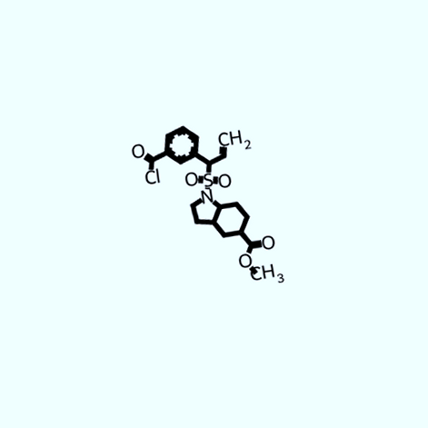 C=CC(c1cccc(C(=O)Cl)c1)S(=O)(=O)N1CCC2CC(C(=O)OC)CCC21